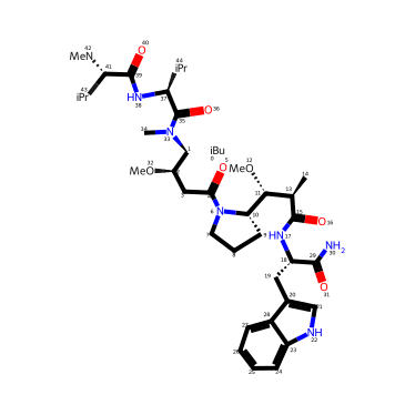 CC[C@H](C)[C@@H]([C@@H](CC(=O)N1CCC[C@H]1[C@H](OC)[C@@H](C)C(=O)N[C@@H](Cc1c[nH]c2ccccc12)C(N)=O)OC)N(C)C(=O)[C@@H](NC(=O)[C@@H](NC)C(C)C)C(C)C